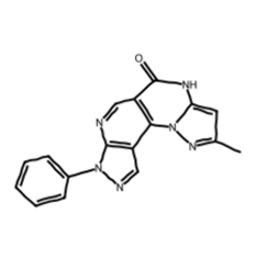 Cc1cc2[nH]c(=O)c3cnc4c(cnn4-c4ccccc4)c3n2n1